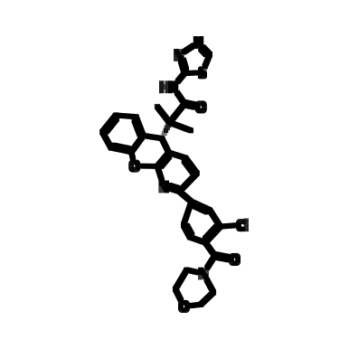 CC(C)(C(=O)Nc1nncs1)[C@H]1c2ccccc2Oc2nc(-c3ccc(C(=O)N4CCOCC4)c(Cl)c3)ccc21